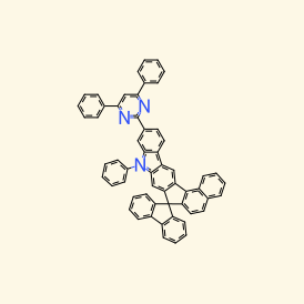 c1ccc(-c2cc(-c3ccccc3)nc(-c3ccc4c5cc6c(cc5n(-c5ccccc5)c4c3)C3(c4ccccc4-c4ccccc43)c3ccc4ccccc4c3-6)n2)cc1